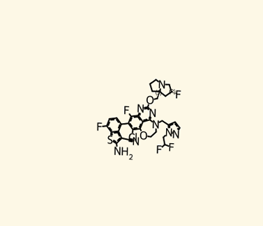 N#Cc1c(N)sc2c(F)ccc(-c3c(Cl)c4c5c(nc(OC[C@@]67CCCN6C[C@H](F)C7)nc5c3F)N(Cc3ccnn3CC(F)F)CCO4)c12